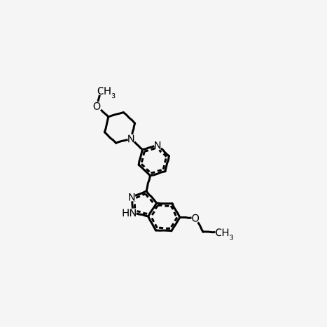 CCOc1ccc2[nH]nc(-c3ccnc(N4CCC(OC)CC4)c3)c2c1